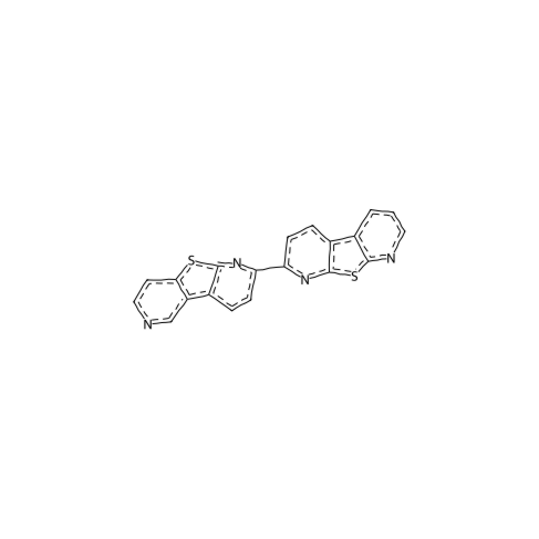 c1cnc2sc3nc(-c4ccc5c(n4)sc4ccncc45)ccc3c2c1